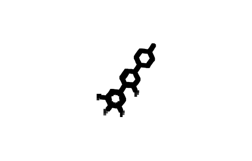 CC1CCC(C2C=CC(c3cc(F)c(F)c(F)c3)=C(F)C2)CC1